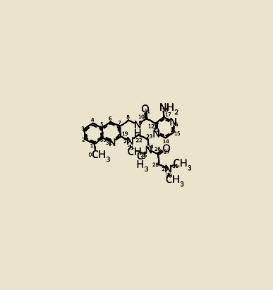 Cc1cccc2cc(CNC(=O)c3nccnc3N)c(N(C)CCN(C)C(=O)CN(C)C)nc12